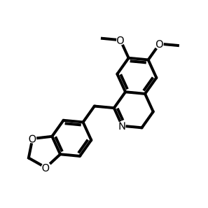 COc1cc2c(cc1OC)C(Cc1ccc3c(c1)OCO3)=NCC2